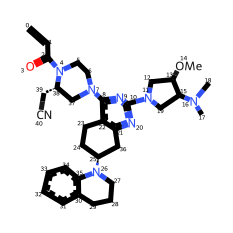 C=CC(=O)N1CCN(c2nc(N3CC(OC)C(N(C)C)C3)nc3c2CC[C@@H](N2CCCc4ccccc42)C3)C[C@@H]1CC#N